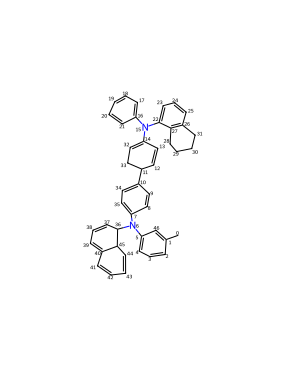 Cc1cccc(N(c2ccc(C3C=CC(N(c4ccccc4)c4cccc5c4CCCC5)=CC3)cc2)C2C=CC=C3C=CC=CC32)c1